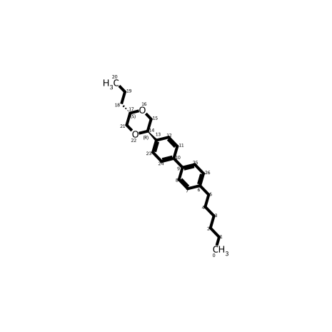 CCCCCCc1ccc(-c2ccc([C@@H]3CO[C@@H](CCC)CO3)cc2)cc1